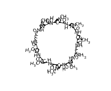 Cn1cc2cc1C(=O)NCCCC(=O)Nc1cn(C)c(n1)C(=O)Nc1cc(n(C)c1)C(=O)Nc1cn(C)c(n1)C(=O)Nc1cc(n(C)c1)C(=O)NCC[C@@H](N)C(=O)Nc1cn(C)c(n1)C(=O)Nc1cc(n(C)c1)C(=O)Nc1cc(n(C)c1)C(=O)N2